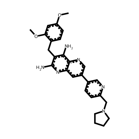 COc1ccc(Cc2c(N)nc3cc(-c4ccc(CN5CCCC5)nc4)cnc3c2N)c(OC)c1